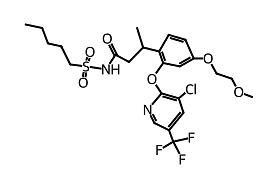 CCCCCS(=O)(=O)NC(=O)CC(C)c1ccc(OCCOC)cc1Oc1ncc(C(F)(F)F)cc1Cl